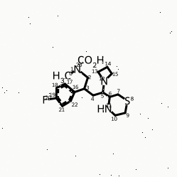 CN(CC(CC(C1CSCCN1)N1CCC1)c1ccc(F)cc1)C(=O)O